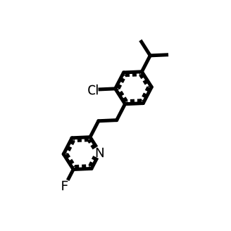 CC(C)c1ccc(CCc2ccc(F)cn2)c(Cl)c1